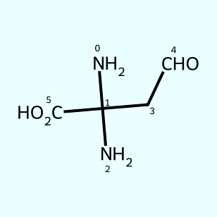 NC(N)(CC=O)C(=O)O